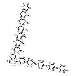 CN(C)c1ccccc1C(=O)c1ccccc1.Cc1ccccc1.Cc1ccccc1.Cc1ccccc1.Cc1ccccc1.Cc1ccccc1.Cc1ccccc1.Cc1ccccc1.Cc1ccccc1.Cc1ccccc1.Cc1ccccc1.c1ccccc1